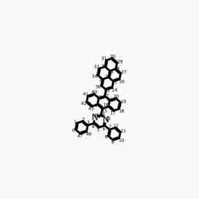 c1ccc(-c2cc(-c3ccccc3)nc(-c3c4ccccc4c(-c4cc5ccc6cccc7ccc(c4)c5c67)c4ccccc34)n2)cc1